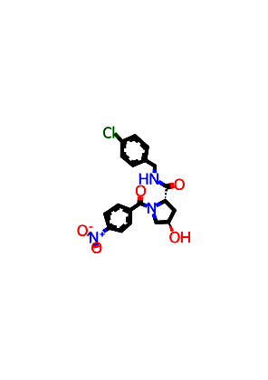 O=C(NCc1ccc(Cl)cc1)[C@@H]1C[C@@H](O)CN1C(=O)c1ccc([N+](=O)[O-])cc1